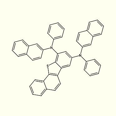 c1ccc(N(c2ccc3ccccc3c2)c2cc(N(c3ccccc3)c3ccc4ccccc4c3)c3sc4c5ccccc5ccc4c3c2)cc1